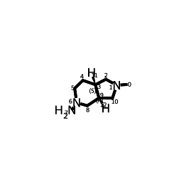 CN1C[C@H]2CCN(N)C[C@H]2C1